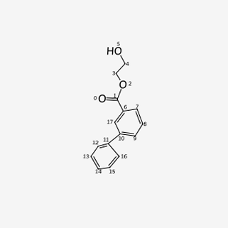 O=C(OCCO)c1cccc(-c2ccccc2)c1